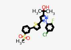 CC(C)(O)c1cc(-c2ccc(-c3cccc(S(C)(=O)=O)c3)s2)n(-c2cc(Cl)ccc2F)n1